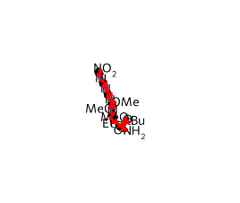 CCN(CCOC(=O)C(C)(C(C)(C)N)C(C)(C)C(C)(C)C(C)(CC(C)(C)C)C(=O)OC)c1ccc(/N=N/c2cc(OC)c(/N=N/c3ccc(/N=N/c4ccc(/N=N/c5ccc([N+](=O)[O-])cc5)cc4)cc3)cc2OC)cc1